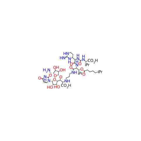 CC(C)CCCCC(=O)OC(C(C)C)C(NC(=O)C(NC(=O)NC(C(=O)O)C(C)C)C1CCNC(=N)N1)C(=O)NCCCNC(C(=O)O)C(O[C@@H]1O[C@H](CN)[C@@H](O)[C@H]1O)C1O[C@@H](n2ccc(=O)[nH]c2=O)C(O)C1O